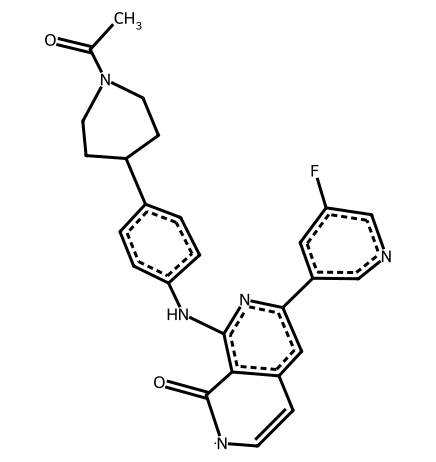 CC(=O)N1CCC(c2ccc(Nc3nc(-c4cncc(F)c4)cc4c3C(=O)[N]C=C4)cc2)CC1